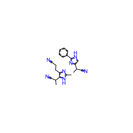 CC(C#N)c1c[nH]c(-c2ccccc2)n1.Cc1nc(CCC#N)c(C(C)C#N)[nH]1